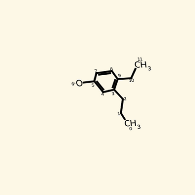 CCCc1cc([O])ccc1CC